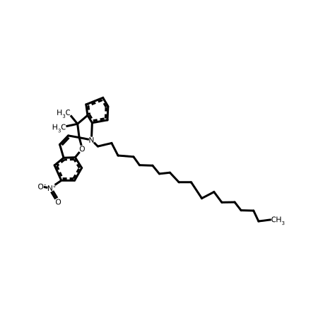 CCCCCCCCCCCCCCCCCCN1c2ccccc2C(C)(C)C12C=Cc1cc([N+](=O)[O-])ccc1O2